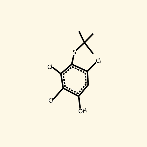 CC(C)(C)Sc1c(Cl)cc(O)c(Cl)c1Cl